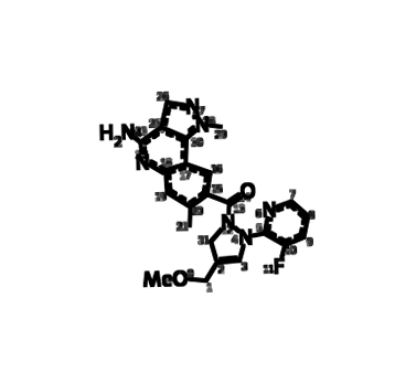 COCC1=CN(c2ncccc2F)N(C(=O)c2cc3c(cc2C)nc(N)c2cnn(C)c23)C1